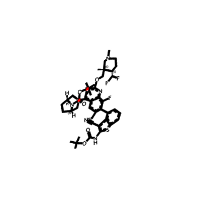 CN1CC[C@H](C(F)F)[C@](C)(COc2nc(N3C[C@H]4CC[C@@H](C3)N4C(=O)OC(C)(C)C)c3cc(Cl)c(-c4cccc5sc(NC(=O)OC(C)(C)C)c(C#N)c45)c(F)c3n2)C1